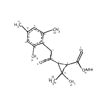 COC(=O)C1C(C(=O)Cc2c(C)cc(C)cc2C)C1(C)C